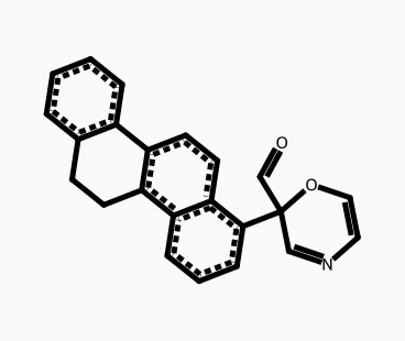 O=CC1(c2cccc3c4c(ccc23)-c2ccccc2CC4)C=NC=CO1